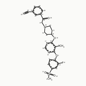 Cc1c(Oc2ccc(S(C)(=O)=O)cc2F)ncnc1OC1CCN(CC(=O)c2cccc(C#N)c2)CC1